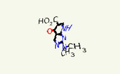 CN(C)c1ncc2c(=O)c(C(=O)O)c[nH]c2n1